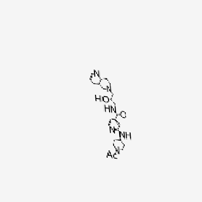 CC(=O)N1CCC(Nc2cc(C(=O)NCC(O)CN3CCc4ncccc4C3)ccn2)CC1